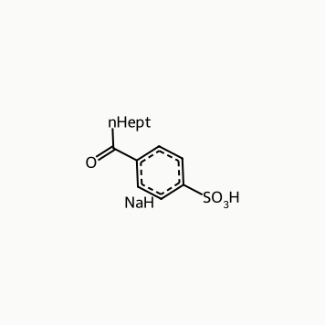 CCCCCCCC(=O)c1ccc(S(=O)(=O)O)cc1.[NaH]